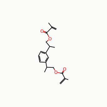 C=C(C)C(=O)OCC(C)c1cccc(C(C)COC(=O)C(=C)C)c1